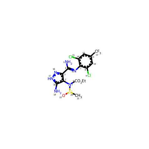 CCOC(=O)N(c1c(C(N)=Nc2c(Cl)cc(C(F)(F)F)cc2Cl)n[nH]c1N)[S+](C)[O-]